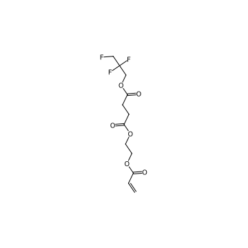 C=CC(=O)OCCOC(=O)CCC(=O)OCC(F)(F)CF